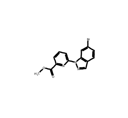 COC(=O)c1cccc(-n2ncc3ccc(Br)cc32)n1